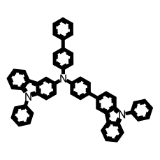 c1ccc(-c2ccc(N(c3ccc(-c4ccc5c(c4)c4ccccc4n5-c4ccccc4)cc3)c3ccc4c(c3)c3ccccc3n4-c3ccccc3)cc2)cc1